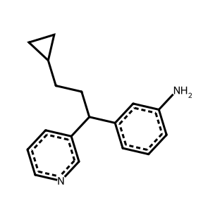 Nc1cccc(C(CCC2CC2)c2cccnc2)c1